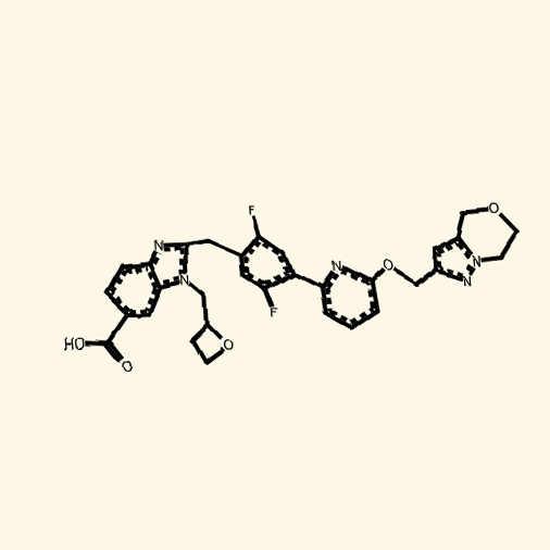 O=C(O)c1ccc2nc(Cc3cc(F)c(-c4cccc(OCc5cc6n(n5)CCOC6)n4)cc3F)n(CC3CCO3)c2c1